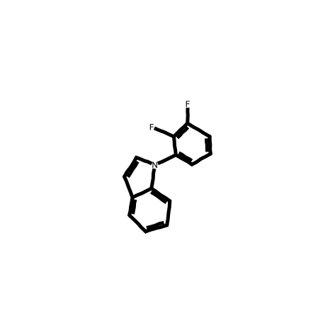 Fc1cccc(-n2ccc3c[c]ccc32)c1F